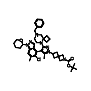 Cc1cc2c(cnn2C2CCCCO2)c(-c2c(N3CCN(Cc4ccccc4)CC34CCC4)nn(C3CC4(C3)CN(C(=O)OC(C)(C)C)C4)c2C)c1Cl